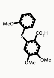 COc1cc(Sc2ccccc2OC)c(C(=O)O)cc1OC